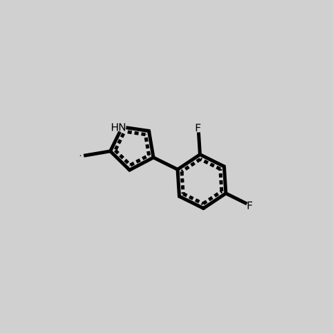 [CH2]c1cc(-c2ccc(F)cc2F)c[nH]1